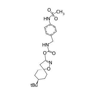 CC(C)(C)[C@H]1CC[C@]2(CC1)CC(OC(=O)NCc1ccc(NS(C)(=O)=O)cc1)=NO2